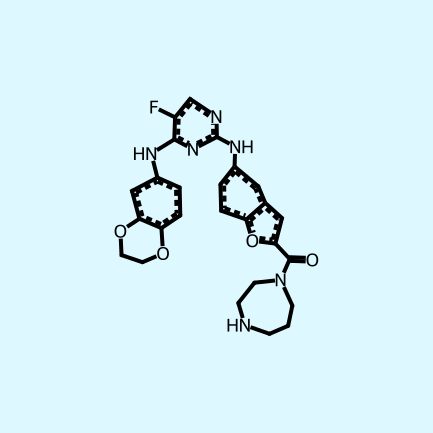 O=C(c1cc2cc(Nc3ncc(F)c(Nc4ccc5c(c4)OCCO5)n3)ccc2o1)N1CCCNCC1